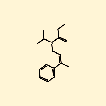 C=C(CC)N(C/C=C(/C)c1ccccc1)C(C)C